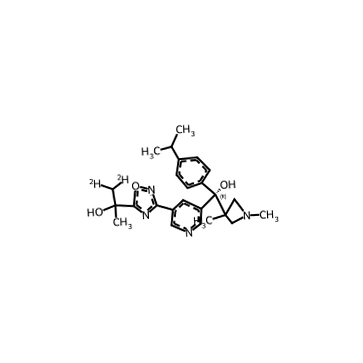 [2H]C([2H])C(C)(O)c1nc(-c2cncc([C@@](O)(c3ccc(C(C)C)cc3)C3(C)CN(C)C3)c2)no1